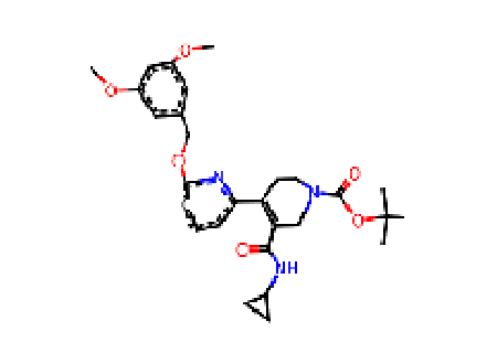 COc1cc(COc2cccc(C3=C(C(=O)NC4CC4)CN(C(=O)OC(C)(C)C)CC3)n2)cc(OC)c1